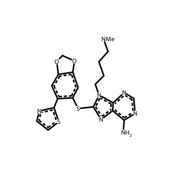 CNCCCCn1c(Sc2cc3c(cc2-c2nccs2)OCO3)nc2c(N)ncnc21